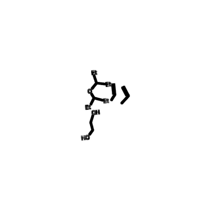 C=CC.C=CC.CCC(CC)OC(CC)CC.OCCO